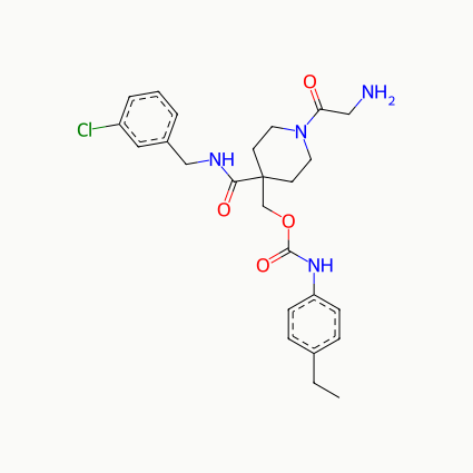 CCc1ccc(NC(=O)OCC2(C(=O)NCc3cccc(Cl)c3)CCN(C(=O)CN)CC2)cc1